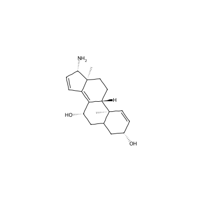 C[C@]12CC[C@H]3C(=C1C=C[C@@H]2N)[C@@H](O)CC1C[C@@H](O)C=C[C@@]13C